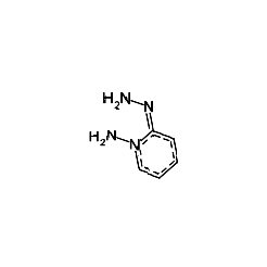 N/N=c1/ccccn1N